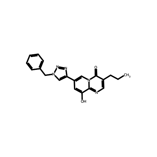 CCCc1cnc2c(O)cc(-c3cn(Cc4ccccc4)nn3)cn2c1=O